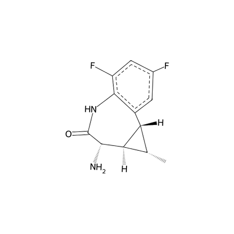 C[C@H]1[C@H]2c3cc(F)cc(F)c3NC(=O)[C@@H](N)[C@H]12